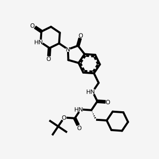 CC(C)(C)OC(=O)N[C@@H](CC1CCCCC1)C(=O)NCc1ccc2c(c1)CN(C1CCC(=O)NC1=O)C2=O